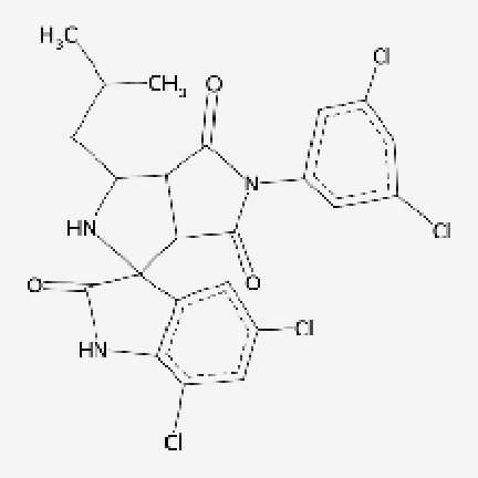 CC(C)CC1NC2(C(=O)Nc3c(Cl)cc(Cl)cc32)C2C(=O)N(c3cc(Cl)cc(Cl)c3)C(=O)C12